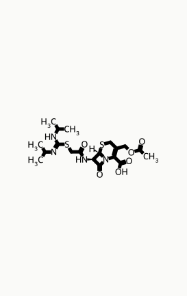 CC(=O)OCC1=C(C(=O)O)N2C(=O)[C@@H](NC(=O)CSC(=NC(C)C)NC(C)C)[C@H]2SC1